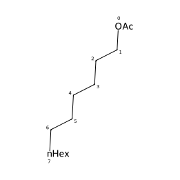 [CH2]C(=O)OCCCCCCCCCCCC